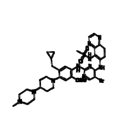 COc1cc(N2CCC(N3CCN(C)CC3)CC2)c(CC2CC2)cc1Nc1ncc(Br)c(Nc2ccc3nccnc3c2NS(C)(=O)=O)n1